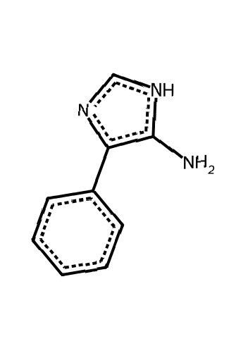 Nc1[nH]cnc1-c1ccccc1